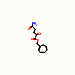 NC(=O)CCC(=O)C(=O)OCC1=CC=CC=CC1